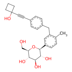 Cc1ccc([C@@H]2O[C@H](CO)[C@@H](O)[C@H](O)[C@H]2O)cc1Cc1ccc(C#CC2(O)CCC2)cc1